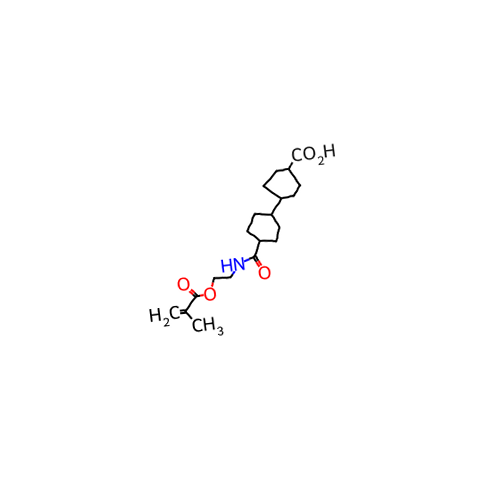 C=C(C)C(=O)OCCNC(=O)C1CCC(C2CCC(C(=O)O)CC2)CC1